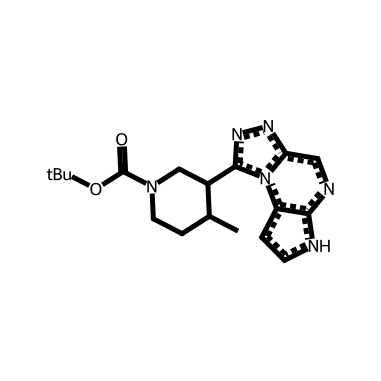 CC1CCN(C(=O)OC(C)(C)C)CC1c1nnc2cnc3[nH]ccc3n12